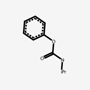 CC(C)[N]C(=O)Oc1ccccc1